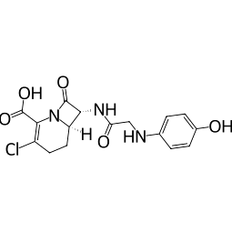 O=C(CNc1ccc(O)cc1)N[C@H]1C(=O)N2C(C(=O)O)=C(Cl)CC[C@H]12